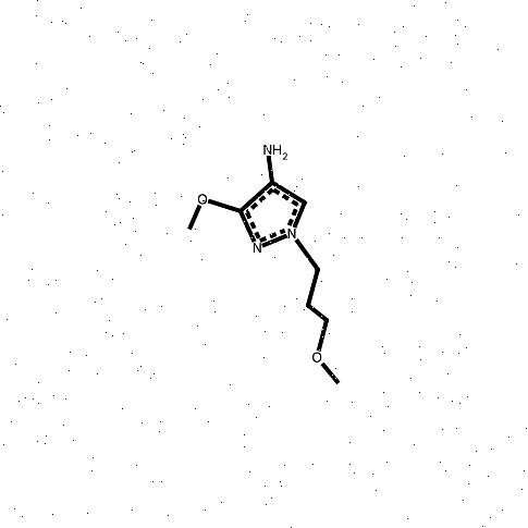 COCCCn1cc(N)c(OC)n1